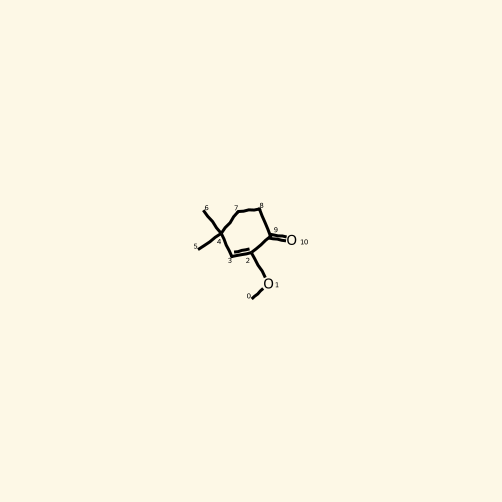 COC1=CC(C)(C)CCC1=O